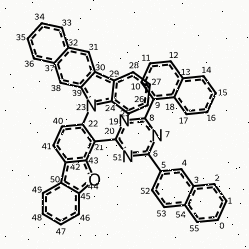 c1ccc2cc(-c3nc(-c4cccc5ccccc45)nc(-c4c(-n5c6ccccc6c6cc7ccccc7cc65)ccc5c4oc4ccccc45)n3)ccc2c1